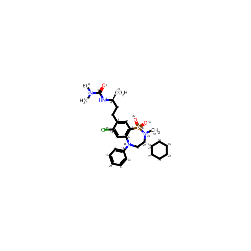 CCN(C)C(=O)N[C@H](CCc1cc2c(cc1Cl)N(c1ccccc1)C[C@@H](C1CCCCC1)N(C)S2(=O)=O)C(=O)O